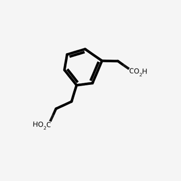 O=C(O)CCc1cccc(CC(=O)O)c1